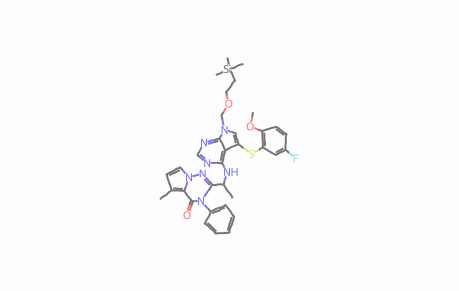 COc1ccc(F)cc1Sc1cn(COCC[Si](C)(C)C)c2ncnc(NC(C)c3nn4ccc(C)c4c(=O)n3-c3ccccc3)c12